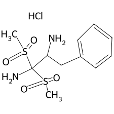 CS(=O)(=O)C(N)(C(N)Cc1ccccc1)S(C)(=O)=O.Cl